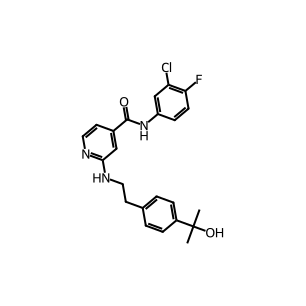 CC(C)(O)c1ccc(CCNc2cc(C(=O)Nc3ccc(F)c(Cl)c3)ccn2)cc1